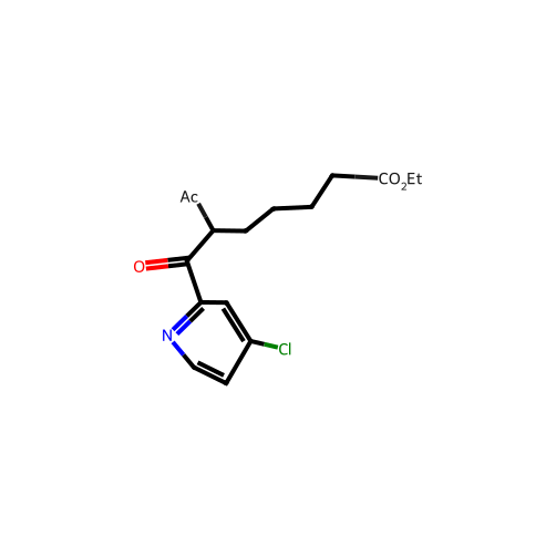 CCOC(=O)CCCCC(C(C)=O)C(=O)c1cc(Cl)ccn1